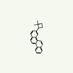 CC1(C)CCC1c1ccc2ccc3c4ccccc4ccc3c2c1